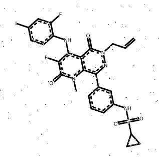 C=CCn1nc(-c2cccc(NS(=O)(=O)C3CC3)c2)c2c(c(Nc3ccc(I)cc3F)c(F)c(=O)n2C)c1=O